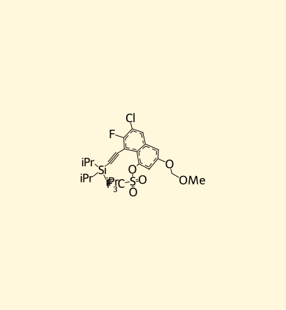 COCOc1cc(OS(=O)(=O)C(F)(F)F)c2c(C#C[Si](C(C)C)(C(C)C)C(C)C)c(F)c(Cl)cc2c1